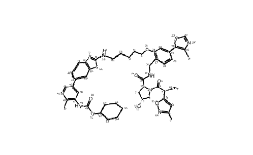 Cc1cc([C@@H](C(=O)N2C[C@H](O)C[C@H]2C(=O)NCc2ccc(-c3scnc3C)cc2OCCCCCNc2nc3ccc(-c4cnc(C)c(NC(=O)OC5CCCCC5)c4)cc3s2)C(C)C)on1